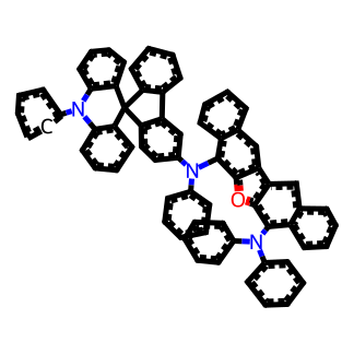 c1ccc(N2c3ccccc3C3(c4ccccc4-c4cc(N(c5ccccc5)c5c6ccccc6cc6c5oc5c(N(c7ccccc7)c7ccccc7)c7ccccc7cc56)ccc43)c3ccccc32)cc1